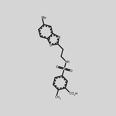 Cc1ccc(S(=O)(=O)NCCc2nc3cc(C(C)(C)C)ccc3o2)cc1C(=O)O